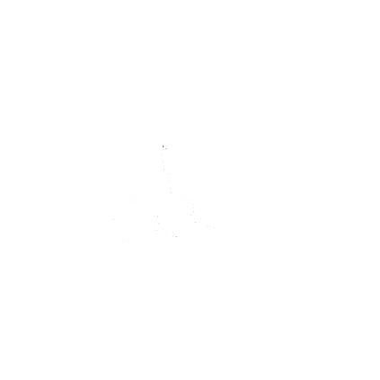 N#Cc1cc(F)cc2c1OCCC2